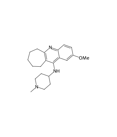 COc1ccc2nc3c(c(NC4CCN(C)CC4)c2c1)CCCCC3